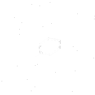 Ic1cc[c]cc1